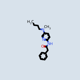 CCCCN(C)c1ccc(NC(=O)Cc2ccccc2)nc1